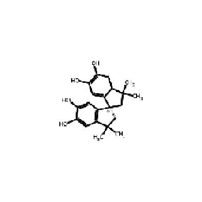 CC1(C)C[C@]2(CC(C)(C)C3CC(O)=C(O)C=C32)c2cc(O)c(O)cc21